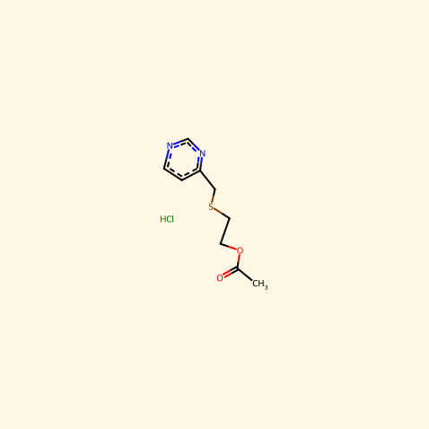 CC(=O)OCCSCc1ccncn1.Cl